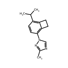 Cc1ncn(-c2ccc(C(C)C)c3c2CC3)n1